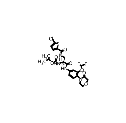 CC(C)OC(=O)N[C@@H](CNC(=O)c1ccc(Cl)s1)C(=O)Nc1ccc(N2CCOCC2=O)c(OC(F)F)c1